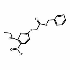 CCNc1cc(OCC(=O)OCc2ccccc2)ccc1[N+](=O)[O-]